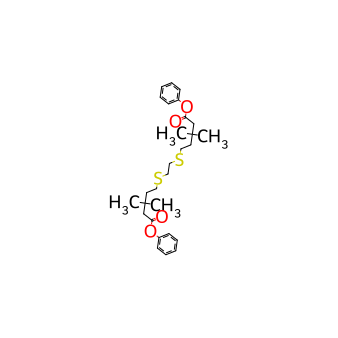 CC(C)(CCSCCSCCC(C)(C)CC(=O)Oc1ccccc1)CC(=O)Oc1ccccc1